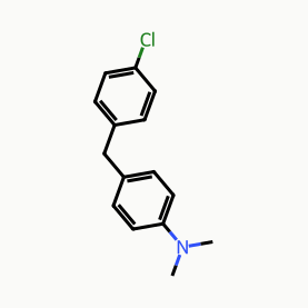 CN(C)c1ccc(Cc2ccc(Cl)cc2)cc1